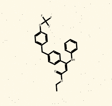 CCOC(=O)/C=C(/Nc1ccccc1)c1ccc(Cc2ccc(OC(F)(F)F)cc2)cc1